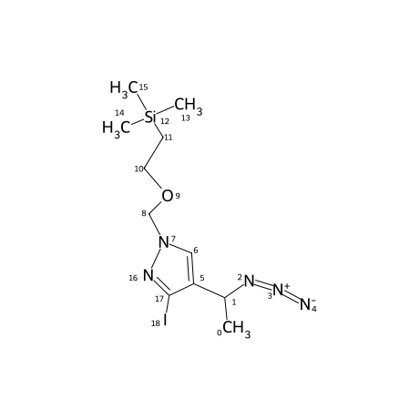 CC(N=[N+]=[N-])c1cn(COCC[Si](C)(C)C)nc1I